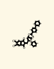 O=C1C(=Cc2cc3oc(-c4ccc(-c5ccccc5)cc4)nc3n2-c2ccccc2)C(=O)c2cc(Cl)c(Cl)cc21